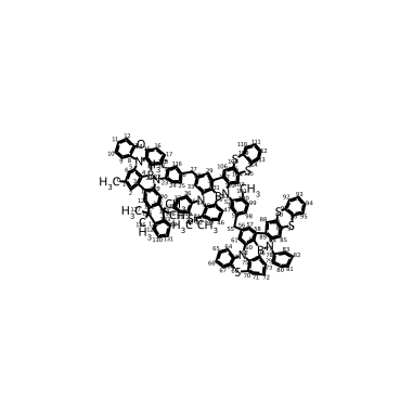 Cc1cc2c3c(c1)N1c4ccccc4Oc4cccc(c41)B3N(c1ccc(Cc3cc4c5c(c3)N3c6ccccc6[Si](C)(C)c6cccc(c63)B5N(c3cc(Cc5cc6c7c(c5)N5c8ccccc8Sc8cccc(c85)B7N(c5ccccc5)c5cc7c(cc5-6)Sc5ccccc5S7)ccc3C)c3cc5c(cc3-4)Sc3ccccc3S5)cc1C)c1cc3c(cc1-2)C(C)(C)c1ccccc1C3(C)C